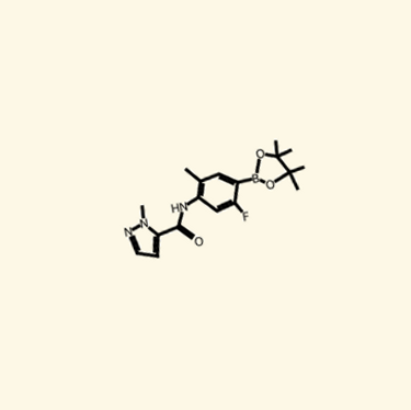 Cc1cc(B2OC(C)(C)C(C)(C)O2)c(F)cc1NC(=O)c1ccnn1C